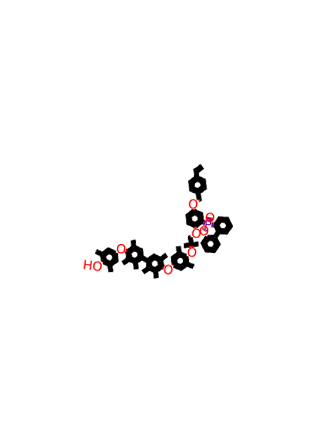 C=Cc1ccc(COc2ccc(OCC(C)(C)Oc3c(C)cc(Oc4c(C)cc(-c5cc(C)c(Oc6cc(C)c(O)c(C)c6)c(C)c5C)c(C)c4C)cc3C)c(P3(=O)Oc4ccccc4-c4ccccc43)c2)cc1